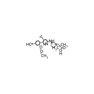 C#Cc1ccc(-c2nnc(N[C@@H]3CCCN(CC(C)(C)C(=O)O)C3)cc2C2CC2)c(OCOCC)c1